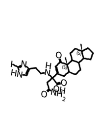 C[C@@]12CCCC1C1CCC3CC(C(CC(N)=O)(NCCc4c[nH]c(I)n4)C(=O)O)=CC(=O)[C@]3(C)C1CC2